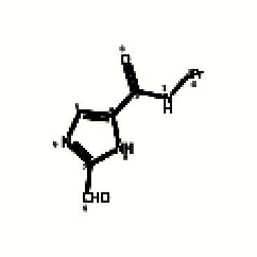 CC(C)NC(=O)c1cnc(C=O)[nH]1